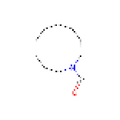 O=[C]N1CCCCCCCCC1